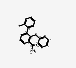 Cc1ccccc1-c1cccc(C(N)=O)c1Cc1ccccc1